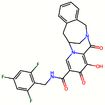 O=C(NCc1c(F)cc(F)cc1F)c1cn2c(c(O)c1=O)C(=O)N1Cc3ccccc3CC2C1